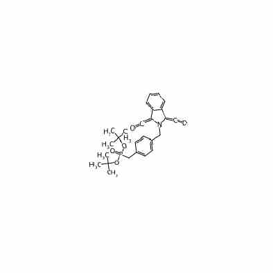 CC(C)(C)OP(=O)(Cc1ccc(Cn2c(=C=O)c3ccccc3c2=C=O)cc1)OC(C)(C)C